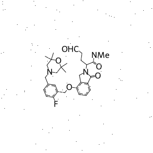 CNC(=O)C(CCC=O)N1Cc2c(OCc3cc(CN4CC(C)(C)OC(C)(C)C4)ccc3F)cccc2C1=O